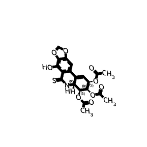 CC(=O)O[C@@H]1[C@H](OC(C)=O)[C@@H](OC(C)=O)C=C2c3cc4c(c(O)c3C(=S)N[C@H]21)OCO4